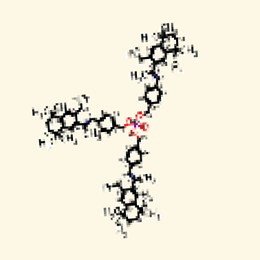 C/C(=C\c1ccc(COP(=O)(OCc2ccc(/C=C(\C)c3cc4c(cc3CC(C)C)C(C)(C)CCC4(C)C)cc2)OCc2ccc(/C=C(\C)c3cc4c(cc3CC(C)C)C(C)(C)CCC4(C)C)cc2)cc1)c1cc2c(cc1CC(C)C)C(C)(C)CCC2(C)C